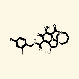 O=C(NCc1ccc(F)cc1F)c1c2n3c(c(O)c1=O)C(=O)N1CCCC[C@]3(C[C@H]2O)C1